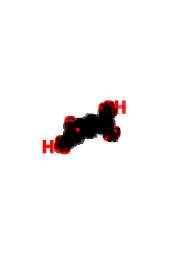 CC(=O)OCCN1/C(=C\C=C2/CCC(/C=C/C3=[N+](CCOC(C)=O)c4ccc5cc(S(=O)(=O)O)ccc5c4C3(C)C)=C2N(c2ccccc2)c2ccccc2)C(C)(C)c2c1ccc1cc(S(=O)(=O)O)ccc21